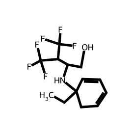 CCC1(NC(CO)C(C(F)(F)F)C(F)(F)F)C=CC=CC1